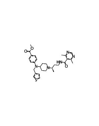 COC(=O)c1ccc(N(Cc2ccsc2)C2CCN([C@H](C)CCNC(=O)c3c(C)ncnc3C)CC2)cc1